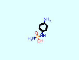 Nc1ccc(NP(N)(=O)O)cc1